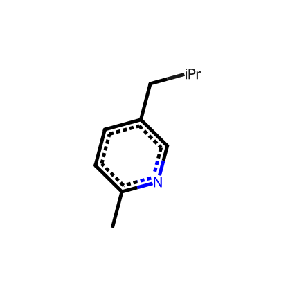 Cc1ccc(CC(C)C)cn1